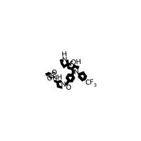 C=CS(=O)(=O)NCC1CCN(C(=O)c2ccc(C3C(CC4(F)CCCNC4)C(O)CN3c3ccc(C(F)(F)F)cc3)cc2)C1